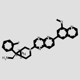 COc1cc(-c2ccc3nc(N4CC[C@@H]5[C@H](C4)[C@@]5(CN)c4ccccc4F)cnc3n2)cc2cccnc12